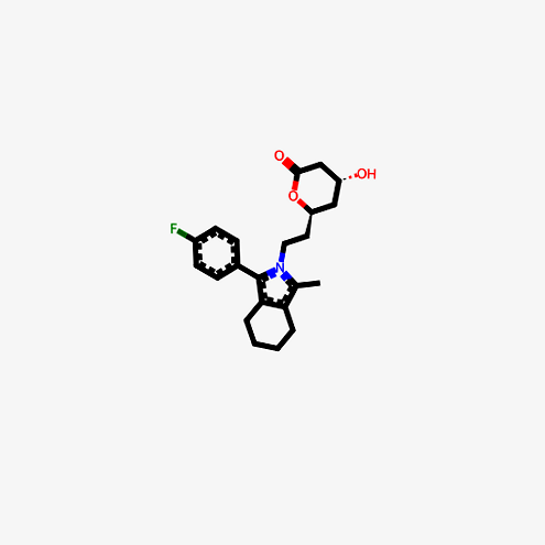 Cc1c2c(c(-c3ccc(F)cc3)n1CC[C@@H]1C[C@@H](O)CC(=O)O1)CCCC2